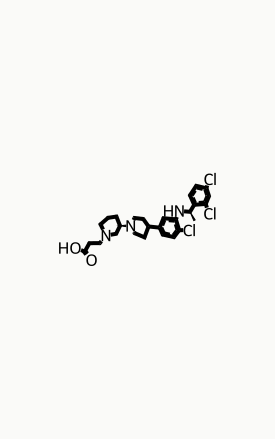 C[C@@H](Nc1cc(C2CCN([C@@H]3CCCN(CCC(=O)O)C3)CC2)ccc1Cl)c1ccc(Cl)cc1Cl